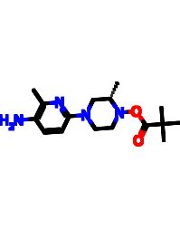 Cc1nc(N2CCN(OC(=O)C(C)(C)C)[C@@H](C)C2)ccc1N